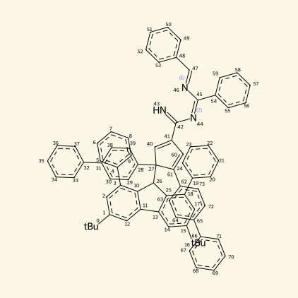 CC(C)(C)c1cc(-c2ccccc2)c2c(c1)-c1cc(C(C)(C)C)cc(-c3ccccc3)c1C2C1(c2ccc(-c3ccccc3)cc2)C=C(C(=N)/N=C(\N=C\c2ccccc2)c2ccccc2)C=C1c1ccc(-c2ccccc2)cc1